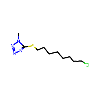 Cn1nnnc1SCCCCCCCCCl